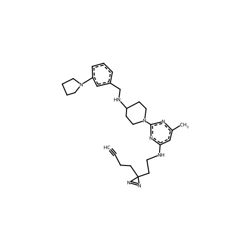 C#CCCC1(CCNc2cc(C)nc(N3CCC(NCc4cccc(N5CCCC5)c4)CC3)n2)N=N1